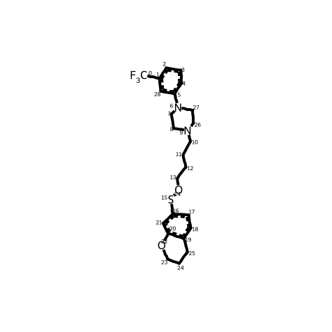 FC(F)(F)c1cccc(N2CCN(CCCCOSc3ccc4c(c3)OCCC4)CC2)c1